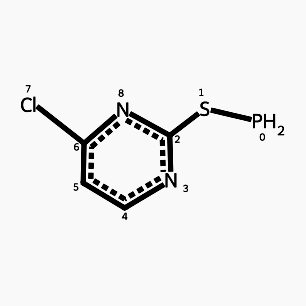 PSc1nccc(Cl)n1